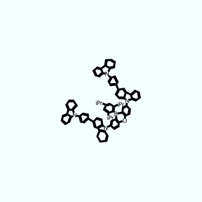 CC(C)c1cc(C(C)C)c(B2c3cc(-n4c5c(c6cc(-c7ccc(-n8c9ccccc9c9ccccc98)cc7)ccc64)CCC=C5)ccc3Oc3ccc(-n4c5ccccc5c5cc(-c6ccc(-n7c8ccccc8c8ccccc87)cc6)ccc54)cc32)c(C(C)C)c1